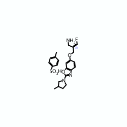 CC1CCN(c2nc3ccc(OC/C(=C/F)CN)cc3o2)C1.Cc1ccc(S(=O)(=O)O)cc1